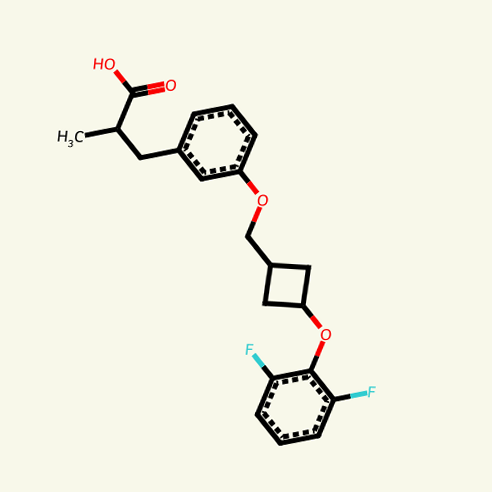 CC(Cc1cccc(OCC2CC(Oc3c(F)cccc3F)C2)c1)C(=O)O